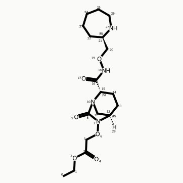 CCOC(=O)CON1C(=O)N2C[C@H]1CC[C@H]2C(=O)NOC[C@H]1CCCCCN1